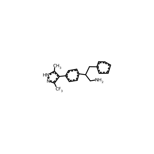 Cc1[nH]nc(C(F)(F)F)c1-c1ccc(C(CN)Cc2ccccc2)cc1